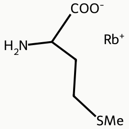 CSCCC(N)C(=O)[O-].[Rb+]